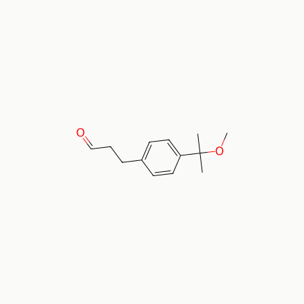 COC(C)(C)c1ccc(CCC=O)cc1